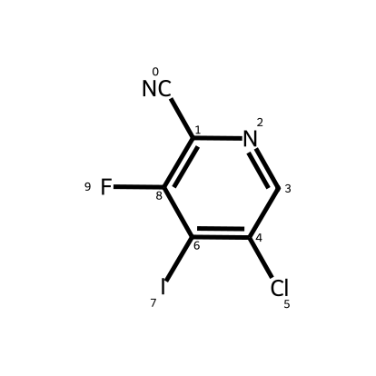 N#Cc1ncc(Cl)c(I)c1F